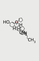 CCCC=CC1(O)CC[C@H]2[C@@H]3CCC4=CC(O)CC[C@]4(COC4=CCCC4)[C@@H]3CC[C@@]21C